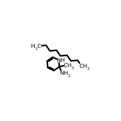 CC1(N)C=CC=CN1.CCCCCCCCC